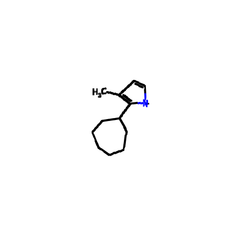 CC1=C(C2CCCCCC2)[N]C=C1